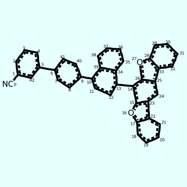 N#Cc1cccc(-c2ccc(-c3ccc(-c4c5oc6ccccc6c5cc5c4oc4ccccc45)c4ccccc34)cc2)c1